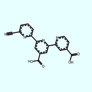 N#Cc1cccc(-c2cc(C(=O)O)cc(-c3cc(C(=O)O)ccn3)n2)n1